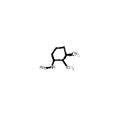 CCCNC1CCCC(C)C1C